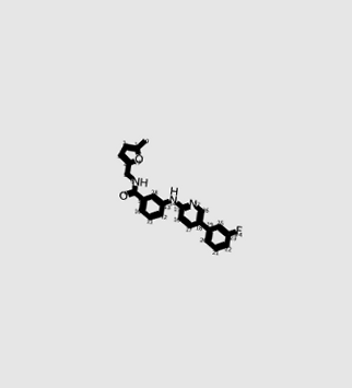 Cc1ccc(CNC(=O)c2cccc(Nc3ccc(-c4cccc(F)c4)cn3)c2)o1